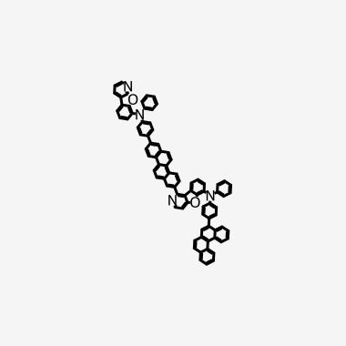 c1ccc(N(c2ccc(-c3ccc4c(ccc5c6ccc(-c7nccc8oc9c(N(c%10ccccc%10)c%10ccc(-c%11cc%12ccc%13ccccc%13c%12c%12ccccc%11%12)cc%10)cccc9c78)cc6ccc45)c3)cc2)c2cccc3c2oc2ncccc23)cc1